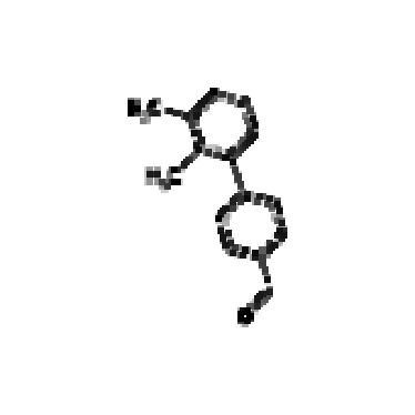 Cc1cccc(-c2ccc(C=O)cc2)c1C